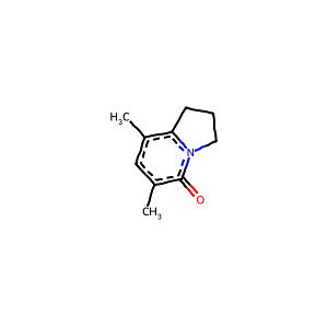 Cc1cc(C)c(=O)n2c1CCC2